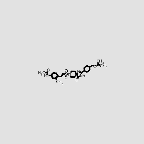 CC(=O)Nc1ccc(CCS(=O)(=O)N2CCC3(CC2)N=C(C2CCC(COC(C)C)CC2)NC3=O)c(C)c1